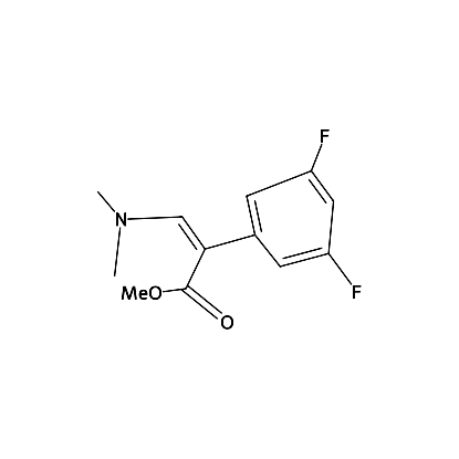 COC(=O)C(=CN(C)C)c1cc(F)cc(F)c1